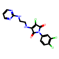 O=C1C(Cl)=C(NCCNc2ncccn2)C(=O)N1c1ccc(Cl)c(Cl)c1